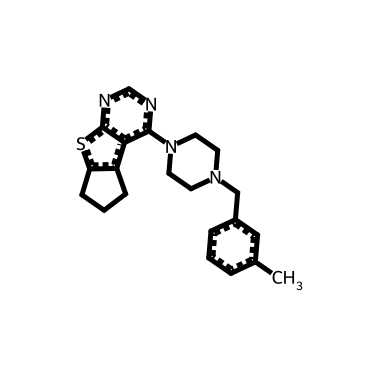 Cc1cccc(CN2CCN(c3ncnc4sc5c(c34)CCC5)CC2)c1